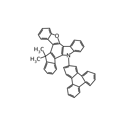 CC1(C)c2ccccc2-c2c1c1c3ccccc3oc1c1c3ccccc3n(-c3ccc4c5ccccc5c5ccccc5c4c3)c21